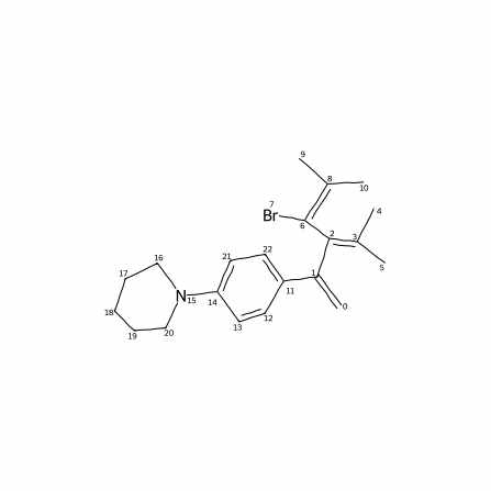 C=C(C(=C(C)C)C(Br)=C(C)C)c1ccc(N2CCCCC2)cc1